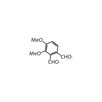 COc1ccc([C]=O)c([C]=O)c1OC